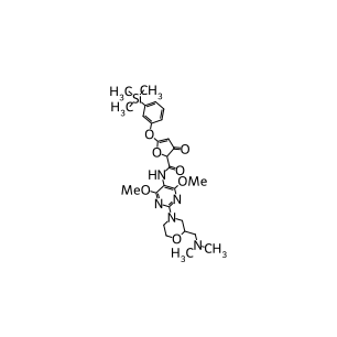 COc1nc(N2CCOC(CN(C)C)C2)nc(OC)c1NC(=O)C1OC(Oc2cccc([Si](C)(C)C)c2)=CC1=O